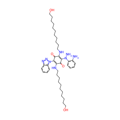 Nc1ccccc1N(N)C1=C(NCCCCCCCCCCCO)C(=O)C(n2nnc3ccccc32)=C(NCCCCCCCCCCCO)C1=O